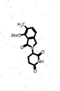 COc1c(C)ccc2c1C(=O)N(C1CCC(=O)NC1=O)C2